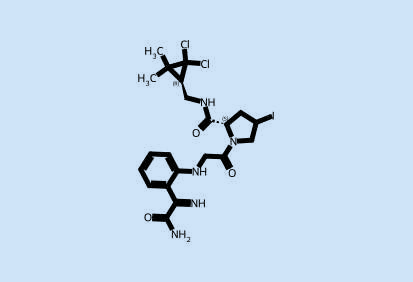 CC1(C)[C@H](CNC(=O)[C@@H]2CC(I)CN2C(=O)CNc2ccccc2C(=N)C(N)=O)C1(Cl)Cl